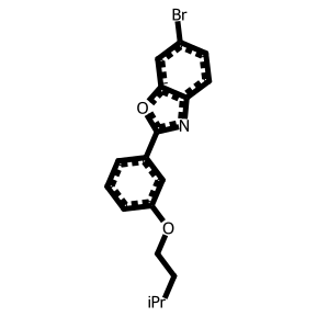 CC(C)CCOc1cccc(-c2nc3ccc(Br)cc3o2)c1